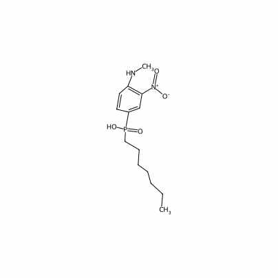 CCCCCCCP(=O)(O)c1ccc(NC)c([N+](=O)[O-])c1